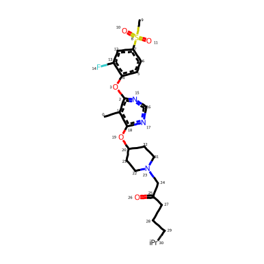 Cc1c(Oc2ccc(S(C)(=O)=O)cc2F)ncnc1OC1CCN(CC(=O)CCCC(C)C)CC1